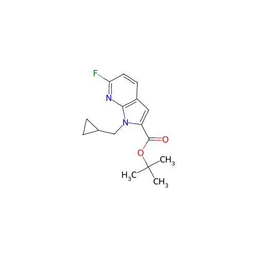 CC(C)(C)OC(=O)c1cc2ccc(F)nc2n1CC1CC1